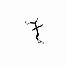 CC=CC(F)(F)C(F)C(F)(F)F